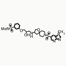 CNS(=O)(=O)c1cccc(OCC(O)CNC2COC3(CCN(S(=O)(=O)c4cnc5ncn(C)c5c4)CC3)C2)c1